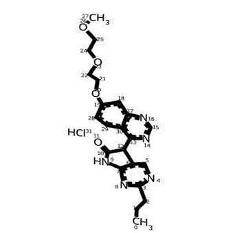 CCCc1ncc2c(n1)NC(=O)C2c1ncnc2cc(OCCOCCOC)ccc12.Cl